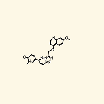 COc1ccc2c(OCc3nnc4ccc(-c5ccc(=O)n(C)c5)nn34)ccnc2c1